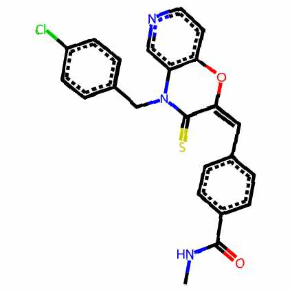 CNC(=O)c1ccc(C=C2Oc3ccncc3N(Cc3ccc(Cl)cc3)C2=S)cc1